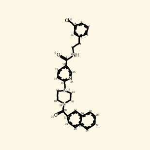 O=C(NCCc1cccc(Cl)c1)c1ccc(N2CCN(C(=O)c3ccc4ccccc4c3)CC2)nc1